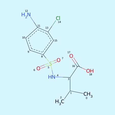 CC(C)C(NS(=O)(=O)c1ccc(N)c(Cl)c1)C(=O)O